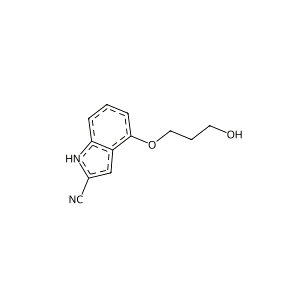 N#Cc1cc2c(OCCCO)cccc2[nH]1